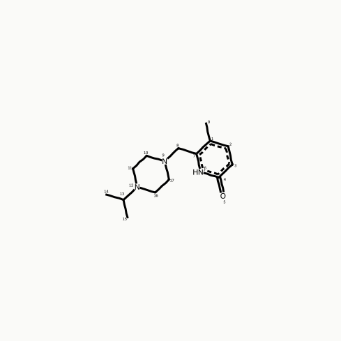 Cc1ccc(=O)[nH]c1CN1CCN(C(C)C)CC1